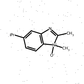 CC1=Nc2cc(C(C)C)ccc2[N+]1(C)[O-]